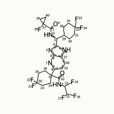 O=C(N[C@H](c1nc2nc(C3(C(=O)NC(F)C(F)F)CCC(F)(F)CC3)ccc2[nH]1)C1CCC(F)(F)CC1)C1(F)CC1